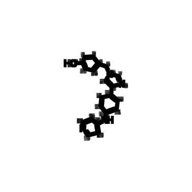 Oc1ccc(Cn2cnc(-c3ccc(Nc4ccncc4)cc3)c2)cc1